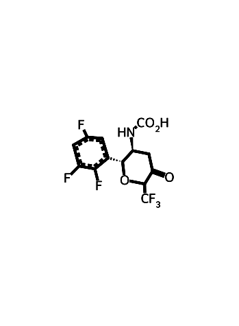 O=C(O)N[C@H]1CC(=O)C(C(F)(F)F)O[C@@H]1c1cc(F)cc(F)c1F